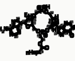 CCCCCCCC(=O)OCSP1(=O)OCC2O[C@@H](n3cnc4c(N)ncnc43)[C@H](F)[C@@H]2OCP(=O)(O)OC[C@H]2O[C@@H](n3cnc4c(=O)[nH]cnc43)[C@H](O1)[C@@H]2F